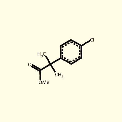 COC(=O)C(C)(C)c1ccc(Cl)cc1